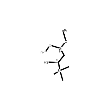 CCCO[SiH](C[C@H](S)[Si](C)(C)C)OCCC